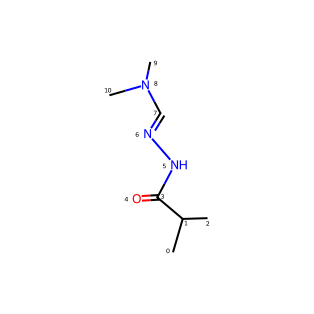 CC(C)C(=O)NN=CN(C)C